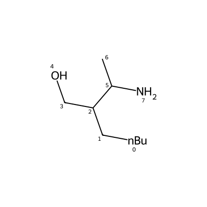 CCCCCC(CO)C(C)N